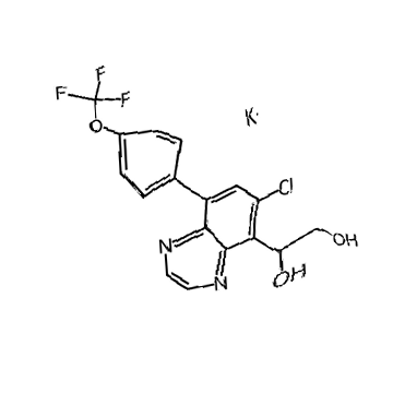 OCC(O)c1c(Cl)cc(-c2ccc(OC(F)(F)F)cc2)c2nccnc12.[K]